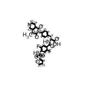 Cn1c(=O)n(-c2ccc(C[C@H](NC(=O)c3cc(F)c(NS(=O)(=O)c4ccco4)cc3F)C(=O)O)cc2)c(=O)c2ccncc21